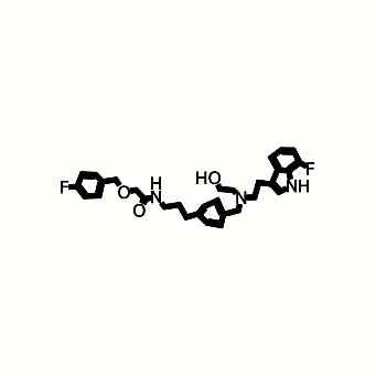 O=C(COCc1ccc(F)cc1)NCCCc1ccc(CN(CCO)CCc2c[nH]c3c(F)cccc23)cc1